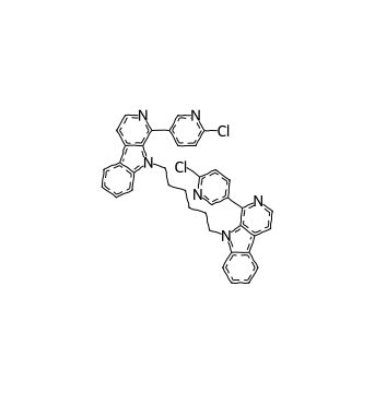 Clc1ccc(-c2nccc3c4ccccc4n(CCCCCCn4c5ccccc5c5ccnc(-c6ccc(Cl)nc6)c54)c23)cn1